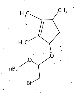 CCCCOC(CBr)OC1CC(C)C(C)=C1C